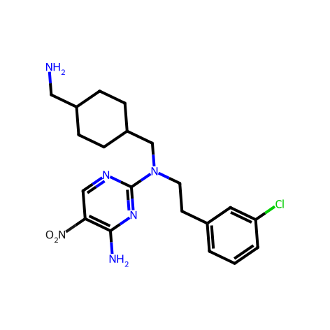 NCC1CCC(CN(CCc2cccc(Cl)c2)c2ncc([N+](=O)[O-])c(N)n2)CC1